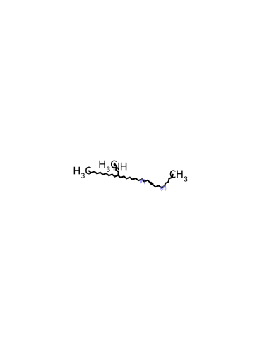 CCCCC/C=C\CCC#CC/C=C/CCCCCCCC(CCCCCCCCCC)CCNC